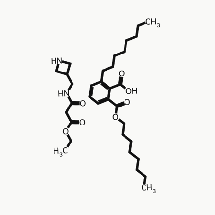 CCCCCCCCOC(=O)c1cccc(CCCCCCCC)c1C(=O)O.CCOC(=O)CC(=O)NCC1CNC1